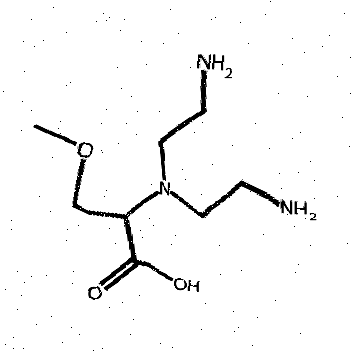 COCC(C(=O)O)N(CCN)CCN